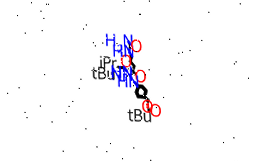 CC(C)C(NC(C)(C)C)C(=O)NC(CCCNC(N)=O)C(=O)Nc1ccc(COC(=O)C(C)(C)C)cc1